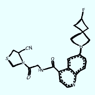 N#CC1CSCN1C(=O)CNC(=O)c1ccnc2ccc(N3CC4(CC(F)C4)C3)cc12